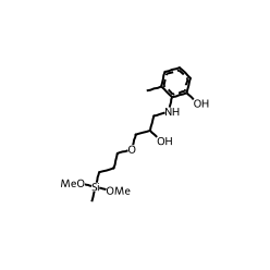 CO[Si](C)(CCCOCC(O)CNc1c(C)cccc1O)OC